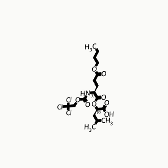 CCCCOC(=O)CC[C@H](NC(=O)OCC(Cl)(Cl)Cl)C(=O)O[C@H](CC(C)C)C(=O)O